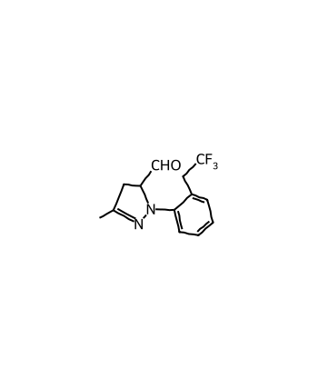 CC1=NN(c2ccccc2CC(F)(F)F)C(C=O)C1